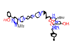 C#Cc1ccc(CNC(=O)[C@@H]2C[C@@H](O)CN2C(=O)[C@@H](NC(=O)CCCCCN2CCC(N3CC4(CC(N5CCN(c6cc(-c7ccccc7O)nnc6NC)CC5)C4)C3)CC2)C(C)(C)C)cc1